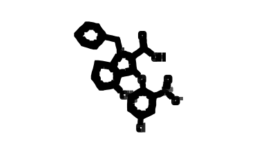 Cc1cccc2c1c(Oc1ccc(Cl)cc1[N+](=O)[O-])c(C(=O)O)n2Cc1ccccc1